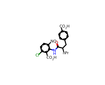 CCCC(Cc1ccc(C(=O)O)cc1)C(=O)Nc1c([N+](=O)[O-])ccc(Cl)c1C(=O)O